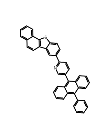 c1ccc(-c2c3ccccc3c(-c3ccc(-c4ccc5sc6c7ccccc7ccc6c5c4)nc3)c3ccccc23)cc1